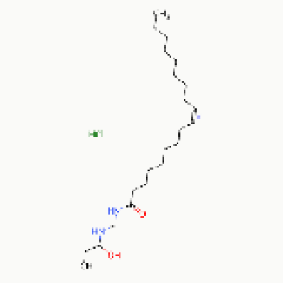 CCCCCCCC/C=C\CCCCCCCC(=O)NCNC(O)CC.Cl